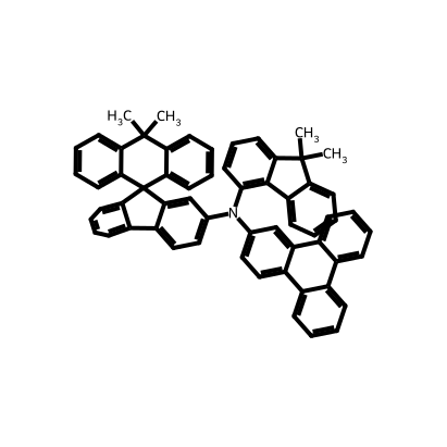 CC1(C)c2ccccc2C2(c3ccccc3-c3ccc(N(c4ccc5c6ccccc6c6ccccc6c5c4)c4cccc5c4-c4ccccc4C5(C)C)cc32)c2ccccc21